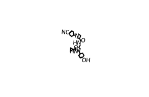 N#CC1=CC=C(N2CCC(C(=O)NCCC[C@H](NC(=O)C3CC3)C3=CC=C(O)CC3)C2)CC1